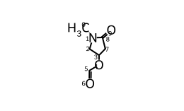 CN1CC(OC=O)CC1=O